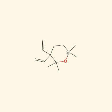 C=CC1(C=C)CC[Si](C)(C)OC1(C)C